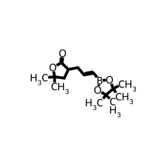 CC1(C)CC(CC=CB2OC(C)(C)C(C)(C)O2)C(=O)O1